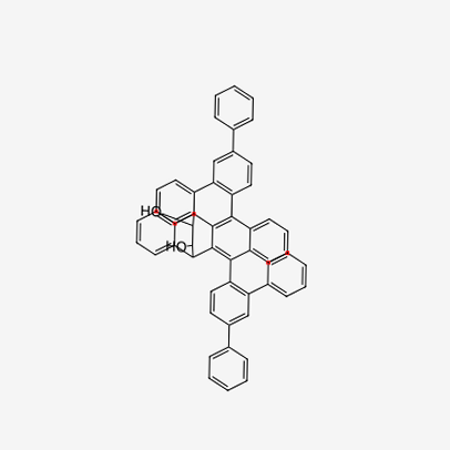 OC1C2c3ccccc3C(c3c2c(-c2ccc(-c4ccccc4)cc2-c2ccccc2)c2ccccc2c3-c2ccc(-c3ccccc3)cc2-c2ccccc2)C1O